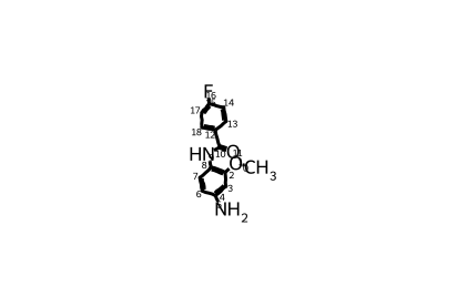 COc1cc(N)ccc1NC(=O)c1ccc(F)cc1